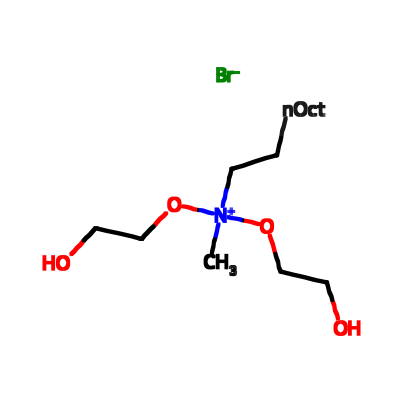 CCCCCCCCCC[N+](C)(OCCO)OCCO.[Br-]